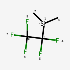 C[Si](C)C(F)(F)C(F)(F)F